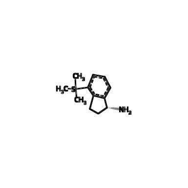 C[Si](C)(C)c1cccc2c1CC[C@H]2N